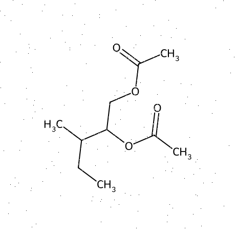 CCC(C)C(COC(C)=O)OC(C)=O